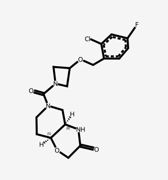 O=C1CO[C@H]2CCN(C(=O)N3CC(OCc4ccc(F)cc4Cl)C3)C[C@H]2N1